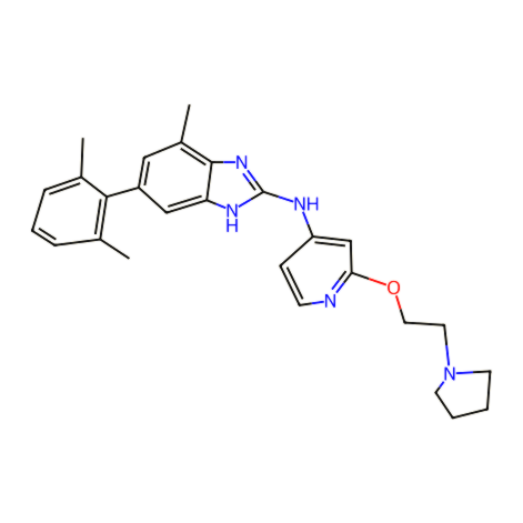 Cc1cccc(C)c1-c1cc(C)c2nc(Nc3ccnc(OCCN4CCCC4)c3)[nH]c2c1